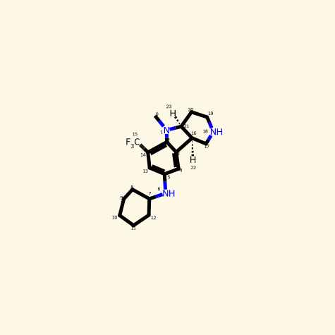 CN1c2c(cc(NC3CCCCC3)cc2C(F)(F)F)[C@@H]2CNCC[C@@H]21